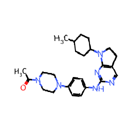 CC(=O)N1CCN(c2ccc(Nc3ncc4c(n3)N(C3CCC(C)CC3)CC4)cc2)CC1